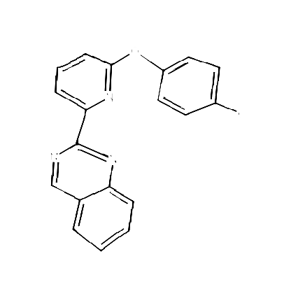 Clc1ccc(Oc2cccc(-c3ncc4ccccc4n3)n2)cc1